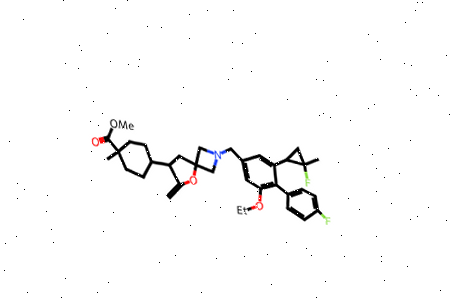 C=C1OC2(CC1C1CCC(C)(C(=O)OC)CC1)CN(Cc1cc(OCC)c(-c3ccc(F)cc3)c(C3CC3(C)F)c1)C2